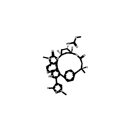 COC(=O)N[C@H]1C[C@H]2C[C@H]1OC(=O)C[C@H](C)c1ccc(cc1)-c1c(-c3cn(C)nc3F)[nH]c3ncc4c(c13)n2c(=O)n4C